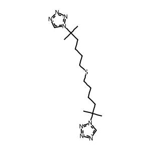 CC(C)(CCCCSCCCCC(C)(C)n1cnnn1)n1cnnn1